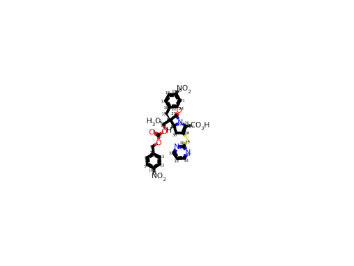 C[C@@H](OC(=O)OCc1ccc([N+](=O)[O-])cc1)[C@]1(Cc2ccc([N+](=O)[O-])cc2)C(=O)N2C(C(=O)O)=C(Sc3ncccn3)C[C@H]21